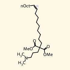 CCCCCCCC/C=C\CCCCCCCCC(CCCN(C)C)(C(=O)OC)C(=O)OC